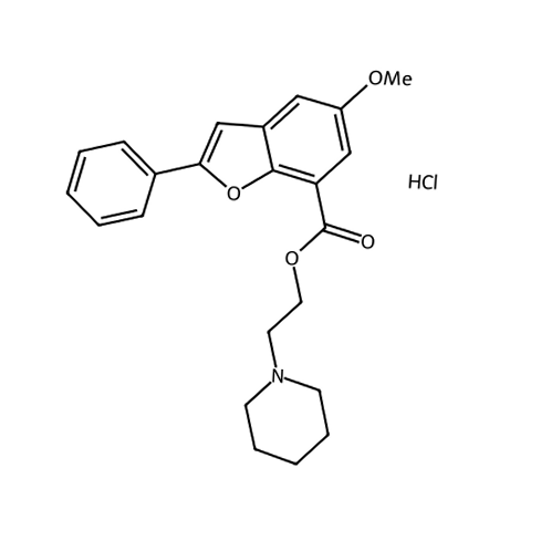 COc1cc(C(=O)OCCN2CCCCC2)c2oc(-c3ccccc3)cc2c1.Cl